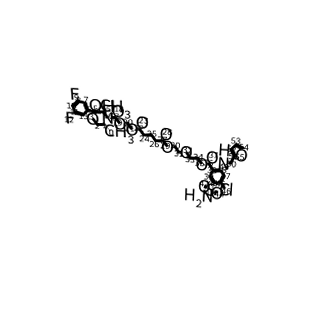 C[C@@H]1CO[C@@](O)(c2cc(F)cc(F)c2)[C@H](C)N1C(=O)OCOC(=O)CCCC(=O)OCCOCCOC(=O)c1cc(S(N)(=O)=O)c(Cl)cc1NCc1ccco1